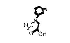 CN(CC(=O)O)c1cccc(I)c1